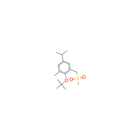 Cc1cc(C(C)C)cc(CS(C)(=O)=O)c1OC(C)(C)C